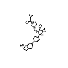 O=C(C1CC1)N1CC[C@@H](CN2C(=O)C3(CC3)N=C2C2=CCC(c3ccc4cc[nH]c4c3)C=C2)C1